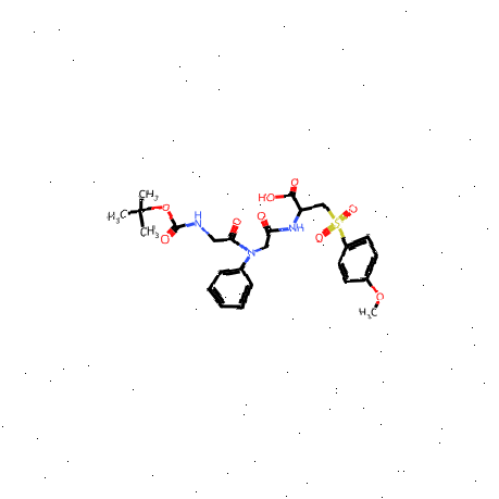 COc1ccc(S(=O)(=O)CC(NC(=O)CN(C(=O)CNC(=O)OC(C)(C)C)c2ccccc2)C(=O)O)cc1